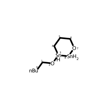 CCCCC[O][SnH]1[CH2]CC[O][SnH2]1